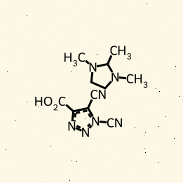 CC1N(C)CCN1C.N#Cc1c(C(=O)O)nnn1C#N